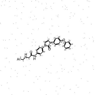 CC(=O)CNCC(=O)Nc1ccc(-n2ccn(-c3ccc(Oc4ccccc4)cc3)c2=O)cc1